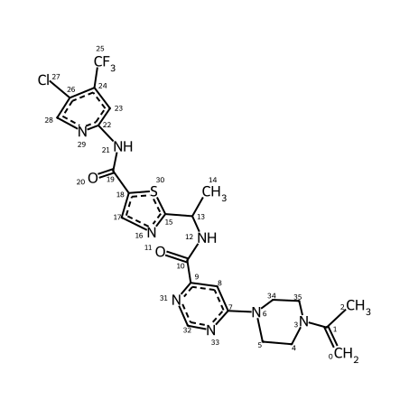 C=C(C)N1CCN(c2cc(C(=O)NC(C)c3ncc(C(=O)Nc4cc(C(F)(F)F)c(Cl)cn4)s3)ncn2)CC1